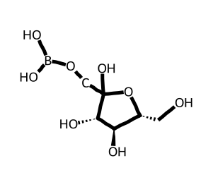 OC[C@H]1OC(O)(COB(O)O)[C@@H](O)[C@@H]1O